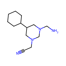 N#CCN1CC(C2CCCCC2)CN(CN)C1